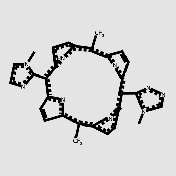 Cn1ccnc1-c1c2nc(c(C(F)(F)F)c3ccc([nH]3)c(-c3nncn3C)c3nc(c(C(F)(F)F)c4ccc1[nH]4)C=C3)C=C2